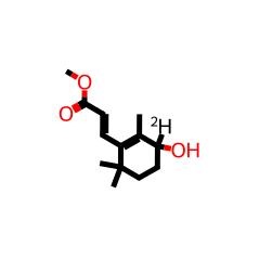 [2H]C1(O)CCC(C)(C)C(/C=C/C(=O)OC)=C1C